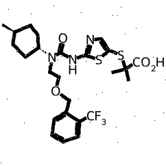 CC(C)(Sc1cnc(NC(=O)N(CCOCc2ccccc2C(F)(F)F)[C@H]2CC[C@H](C)CC2)s1)C(=O)O